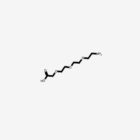 NCCOCCOCCOCC(=O)O